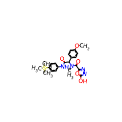 COc1ccc(C(C(=O)Nc2ccc(S(C)(C)C)cc2)N(C)C(=O)c2nnc(O)o2)cc1